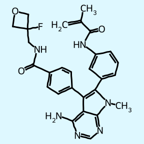 C=C(C)C(=O)Nc1cccc(-c2c(-c3ccc(C(=O)NCC4(F)COC4)cc3)c3c(N)ncnc3n2C)c1